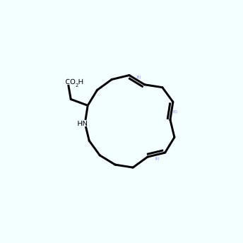 O=C(O)CC1CC/C=C/C/C=C/C/C=C/CCCCN1